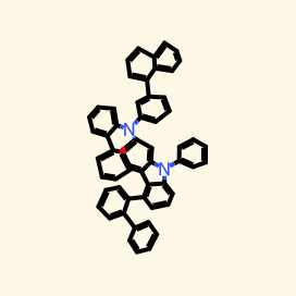 c1ccc(-c2ccccc2-c2cccc3c2c2ccc(N(c4cccc(-c5cccc6ccccc56)c4)c4ccccc4-c4ccccc4)cc2n3-c2ccccc2)cc1